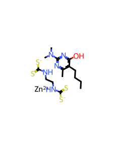 CCCCc1c(C)nc(N(C)C)nc1O.S=C([S-])NCCNC(=S)[S-].[Zn+2]